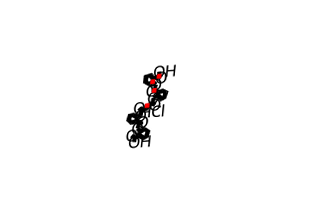 Cl.O=C(/C=C/C(=O)Oc1ccccc1C(=O)Oc1ccccc1C(=O)O)Oc1ccccc1C(=O)Oc1ccccc1C(=O)O